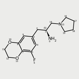 N[C@@H](Cc1cc(F)c2c(c1)OCCO2)CN1CCCC1